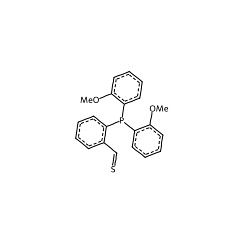 COc1ccccc1P(c1ccccc1C=S)c1ccccc1OC